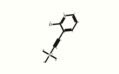 CCc1ncccc1C#C[Si](C)(C)C